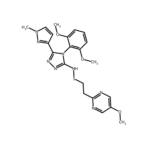 COc1cnc(CCSNc2nnc(-c3ccn(C)n3)n2-c2c(OC)cccc2OC)nc1